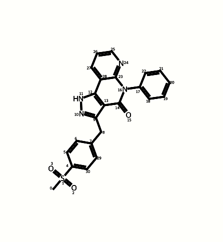 CS(=O)(=O)c1ccc(Cc2n[nH]c3c2c(=O)n(-c2ccccc2)c2ncccc32)cc1